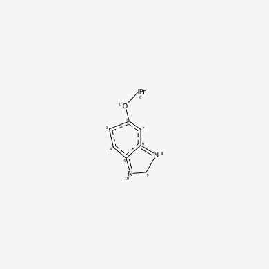 CC(C)Oc1ccc2c(c1)=NCN=2